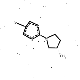 C[C@H]1CCN(c2ncc(Br)cn2)C1